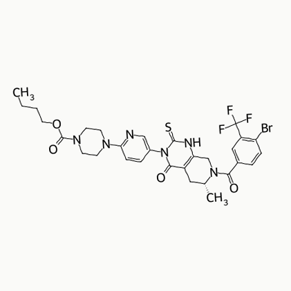 CCCCOC(=O)N1CCN(c2ccc(-n3c(=S)[nH]c4c(c3=O)C[C@@H](C)N(C(=O)c3ccc(Br)c(C(F)(F)F)c3)C4)cn2)CC1